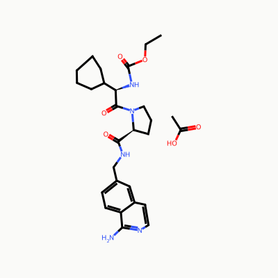 CC(=O)O.CCOC(=O)N[C@@H](C(=O)N1CCC[C@H]1C(=O)NCc1ccc2c(N)nccc2c1)C1CCCCC1